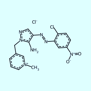 C[n+]1cccc(Cn2ncc(N=Nc3cc([N+](=O)[O-])ccc3Cl)c2N)c1.[Cl-]